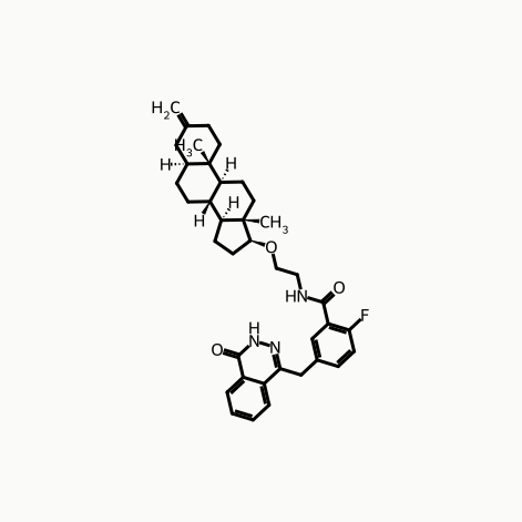 C=C1CC[C@@]2(C)[C@@H](CC[C@@H]3[C@@H]2CC[C@]2(C)[C@@H](OCCNC(=O)c4cc(Cc5n[nH]c(=O)c6ccccc56)ccc4F)CC[C@@H]32)C1